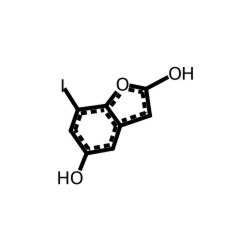 Oc1cc(I)c2oc(O)cc2c1